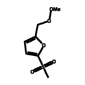 COOCc1ccc(S(C)(=O)=O)o1